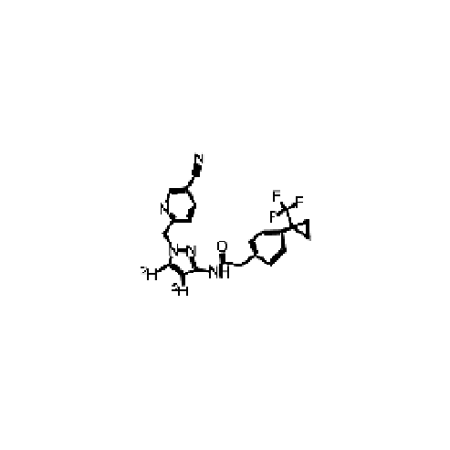 [2H]c1c(NC(=O)Cc2ccc(C3(C(F)(F)F)CC3)cc2)nn(Cc2ccc(C#N)cn2)c1[2H]